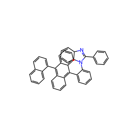 C1=CC2N=C(c3ccccc3)N(c3ccccc3-c3c4ccccc4c(-c4cccc5ccccc45)c4ccccc34)C2C=C1